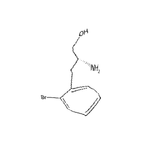 N[C@@H](CO)Cc1ccccc1Br